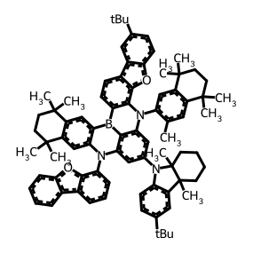 Cc1cc2c(cc1N1c3cc(N4c5ccc(C(C)(C)C)cc5C5(C)CCCCC45C)cc4c3B(c3cc5c(cc3N4c3cccc4c3oc3ccccc34)C(C)(C)CCC5(C)C)c3ccc4c(oc5ccc(C(C)(C)C)cc54)c31)C(C)(C)CCC2(C)C